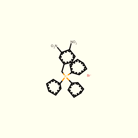 O=[N+]([O-])c1ccc(C[P+](c2ccccc2)(c2ccccc2)c2ccccc2)cc1[N+](=O)[O-].[Br-]